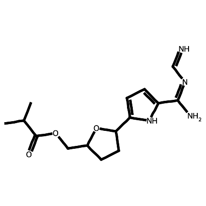 CC(C)C(=O)OCC1CCC(c2ccc(/C(N)=N\C=N)[nH]2)O1